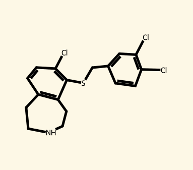 Clc1ccc(CSc2c(Cl)ccc3c2CCNCC3)cc1Cl